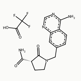 NC(=O)[C@H]1CCN(Cc2ccc3c(N)ncnc3c2)C1=O.O=C(O)C(F)(F)F